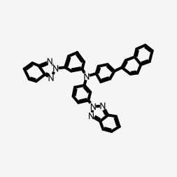 c1cc(N(c2ccc(-c3ccc4ccccc4c3)cc2)c2cccc(-n3nc4ccccc4n3)c2)cc(-n2nc3ccccc3n2)c1